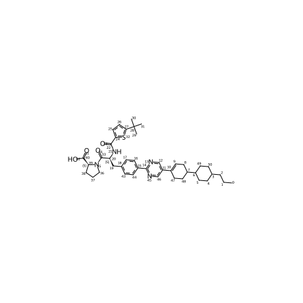 CCCC1CCC(C2CC=C(c3cnc(-c4ccc(C[C@H](NC(=O)c5ccc(C(C)(C)C)s5)C(=O)N5CCC[C@H]5C(=O)O)cc4)nc3)CC2)CC1